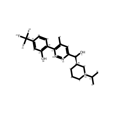 Cc1cc(C(O)[C@@H]2CCCN(C(C)C)C2)nnc1-c1ccc(C(F)(F)F)cc1O